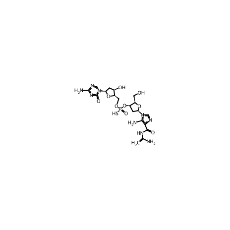 C=C(N)NC(=O)c1ncn([C@H]2C[C@@H](OP(=O)(S)OC[C@H]3O[C@@H](n4cnc(N)nc4=O)C[C@H]3O)[C@@H](CO)O2)c1N